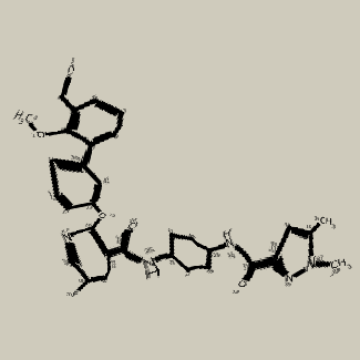 COc1c(C=O)cccc1-c1cccc(Oc2ncc(F)cc2C(=O)NC2CCC(NC(=O)c3cc(C)n(C)n3)CC2)c1